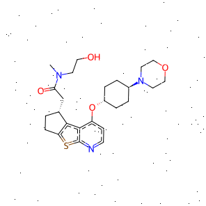 CN(CCO)C(=O)C[C@H]1CCc2sc3nccc(O[C@H]4CC[C@H](N5CCOCC5)CC4)c3c21